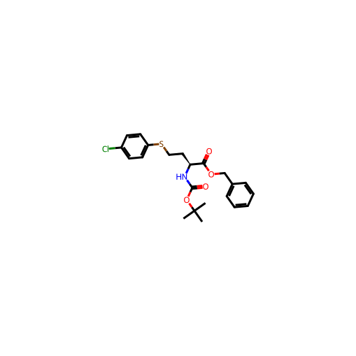 CC(C)(C)OC(=O)N[C@@H](CCSc1ccc(Cl)cc1)C(=O)OCc1ccccc1